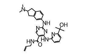 C=CCNC(=O)c1cnc(Nc2ccc3c(c2)CC(N(C)C)C3)nc1Nc1cccc(C(C)(C)O)n1